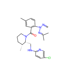 C=NN(N=C(C)C)c1ccc(C)cc1C(=O)N1CCC[C@@H](C)[C@H]1CNc1ccc(Cl)cn1